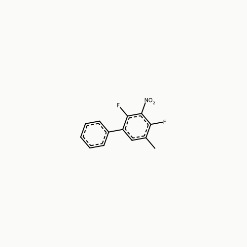 Cc1cc(-c2ccccc2)c(F)c([N+](=O)[O-])c1F